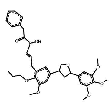 CCCOc1c(CC=CN(O)C(=O)Cc2ccccc2)cc(C2COC(c3cc(OC)c(OC)c(OC)c3)C2)cc1OC